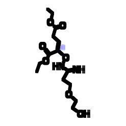 CCOC(=O)C/C=C(/ONC(=N)CCOCCO)C(=O)OCC